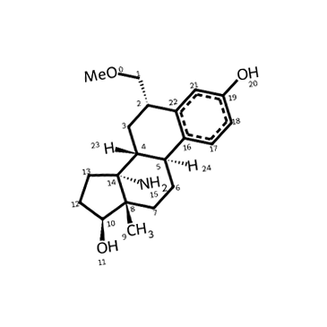 COC[C@H]1C[C@@H]2[C@H](CC[C@]3(C)[C@@H](O)CC[C@@]23N)c2ccc(O)cc21